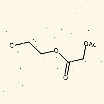 [CH2]C(=O)OCC(=O)OCCCl